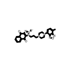 Cc1ccc(N2CCN(CCCn3c4c(n[n+]3[O-])C(=O)c3ccccc3C4=O)CC2)c2nonc12